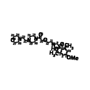 COc1cc(C)c(S(=O)(=O)CNCCOCC(=O)N2CCN(CCN3CCOCC3)CC2)c(C)c1